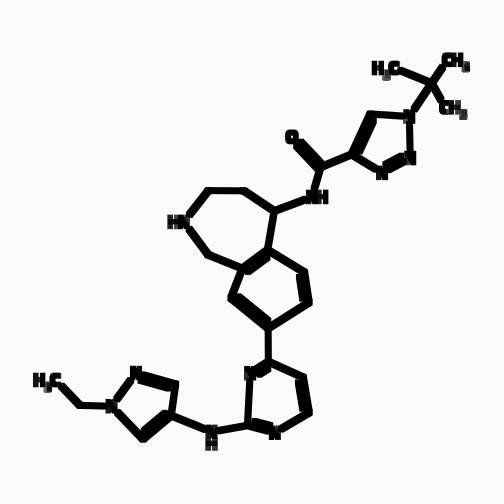 CCn1cc(Nc2nccc(-c3ccc4c(c3)CNCCC4NC(=O)c3cn(C(C)(C)C)nn3)n2)cn1